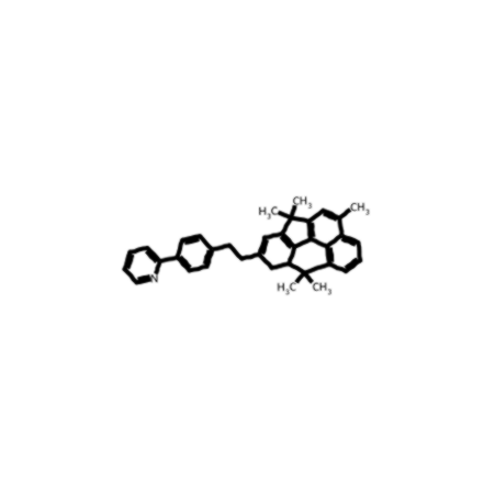 Cc1cc2c3c4c(cccc14)C(C)(C)C1CC(CCc4ccc(-c5ccccn5)cc4)=CC(=C31)C2(C)C